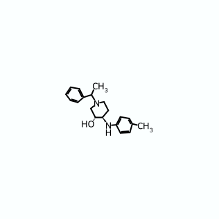 Cc1ccc(N[C@@H]2CCN(C(C)c3ccccc3)C[C@H]2O)cc1